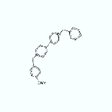 COc1ccc(C[n+]2ccc(-c3cc[n+](Cc4ccccc4)cc3)cc2)cc1